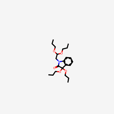 CCCOC(CN1C(=O)C(OCCC)(OCCC)c2ccccc21)OCCC